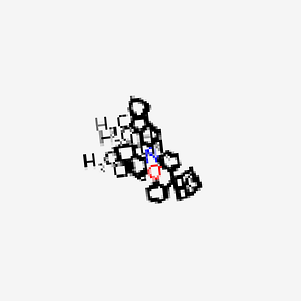 CC1(C)CCC(C)(C)c2c(N(c3ccc4c(c3)C(C)(C)c3ccccc3-4)c3cccc4c3Oc3ccccc3C43C4CC5CC6CC3C64C5)cccc21